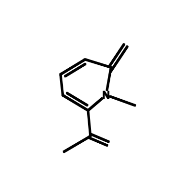 C=C(C)C1=CC=CC(=C)N1C